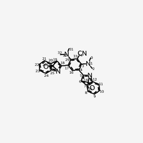 CN(C)c1c(-c2c3c4ccccc4n2C3=O)cc(-c2c3c4ccccc4n2C3=O)c(N(C)C)c1C#N